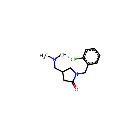 CN(C)CC1CC(=O)N(Cc2ccccc2Cl)C1